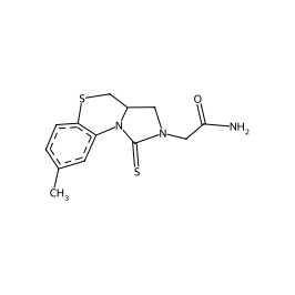 Cc1ccc2c(c1)N1C(=S)N(CC(N)=O)CC1CS2